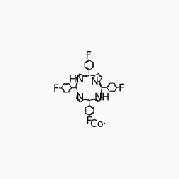 Fc1ccc(-c2c3nc(c(-c4ccc(F)cc4)c4ccc([nH]4)c(-c4ccc(F)cc4)c4nc(c(-c5ccc(F)cc5)c5ccc2[nH]5)C=C4)C=C3)cc1.[Co]